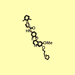 COc1cc2c(Oc3ccc(NC(=O)N4C=CN(c5c(C)cccc5C)C4)cc3F)ccnc2cc1OCCCN1CCCC1